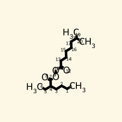 CCCCC(CC)C(=O)OOC(=O)CCCCCC(C)C